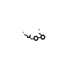 COC(=O)c1cc(Cc2ccc(-c3ccccc3C(=O)OC(C)(C)C)cc2F)co1